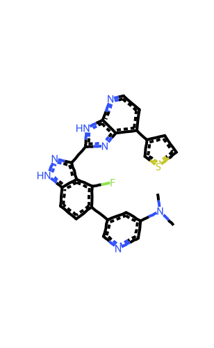 CN(C)c1cncc(-c2ccc3[nH]nc(-c4nc5c(-c6ccsc6)ccnc5[nH]4)c3c2F)c1